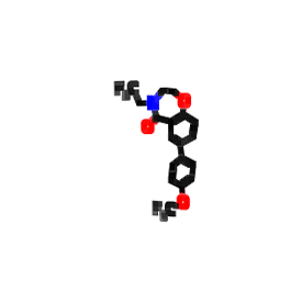 O=C1c2cc(-c3ccc(OC(F)(F)F)cc3)ccc2OCCN1CC(F)(F)F